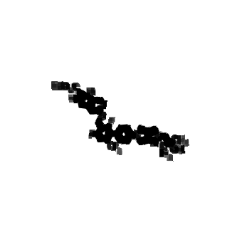 CCOC(=O)[C@H]1[C@@H]2Cc3cc(OCc4c(F)cc(C(F)(F)F)c(-c5ccc(N6Cc7cn(CC(C)(C)O)nc7C6)cc5)c4F)ncc3[C@@H]21